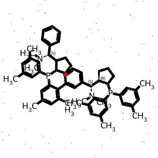 Cc1cc(C)cc(P(c2cc(C)cc(C)c2-c2cccc([C@H]([C@H]3CCCC3P(c3cc(C)cc(C)c3)c3cc(C)cc(C)c3)N(C)C)c2)C2CCCC2[C@@H](c2ccccc2)N(C)C)c1